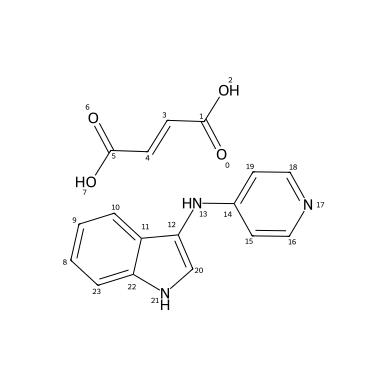 O=C(O)C=CC(=O)O.c1ccc2c(Nc3ccncc3)c[nH]c2c1